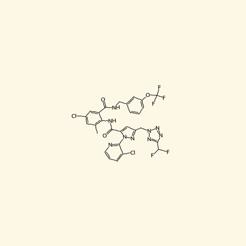 Cc1cc(Cl)cc(C(=O)NCc2cccc(OC(F)(F)F)c2)c1NC(=O)c1cc(Cn2nnc(C(F)F)n2)nn1-c1ncccc1Cl